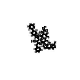 CCC(C)C(NC(=O)OC)C(=O)NN(Cc1ccc(-c2ccccn2)cc1)CC(O)C(Cc1ccccc1)NC(=O)C(C(C)C)N1CCN(Cc2csc(C)n2)C1=O